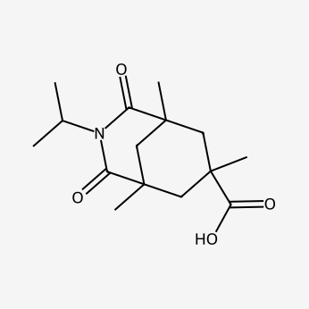 CC(C)N1C(=O)C2(C)CC(C)(C(=O)O)CC(C)(C2)C1=O